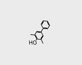 Cc1cc(-c2ccccc2)cc(C)c1O